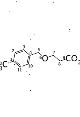 Cc1ccc(COCCC(=O)O)cc1